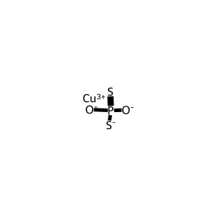 [Cu+3].[O-]P([O-])(=S)[S-]